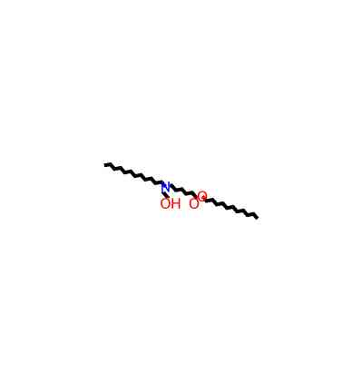 CCCCCCCCCCCCN(CCO)CCCCCC(=O)OCCCCCCCCCCC